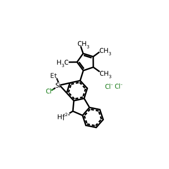 CC[Si]1(Cl)c2c(C3=C(C)C(C)=C(C)C3C)cc3c(c21)[CH]([Hf+2])c1ccccc1-3.[Cl-].[Cl-]